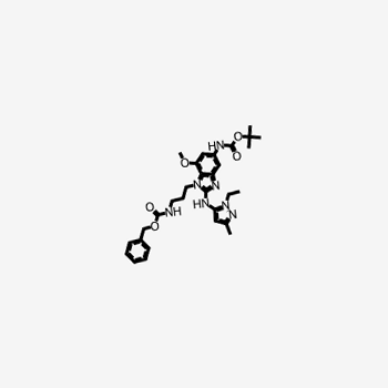 CCn1nc(C)cc1Nc1nc2cc(NC(=O)OC(C)(C)C)cc(OC)c2n1CCCNC(=O)OCc1ccccc1